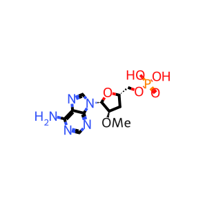 CO[C@@H]1C[C@@H](COP(=O)(O)O)O[C@H]1n1cnc2c(N)ncnc21